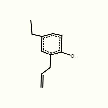 C=CCc1cc(CC)ccc1O